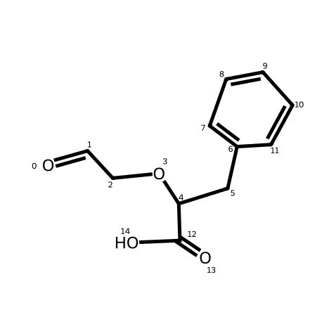 O=CCOC(Cc1ccccc1)C(=O)O